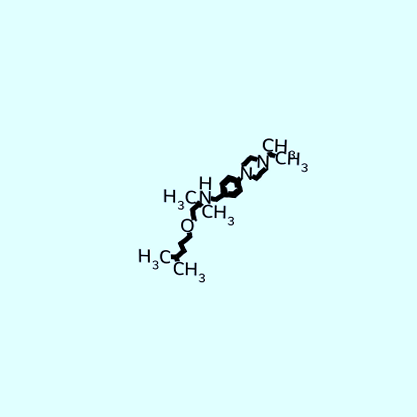 CC(C)CCCOCCC(C)(C)NCc1ccc(N2CCN(C(C)C)CC2)cc1